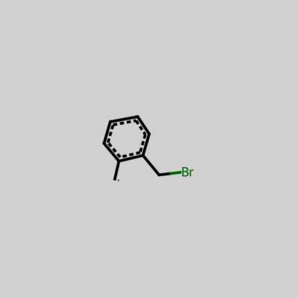 [CH2]c1ccccc1CBr